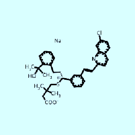 CC(C)(CS[C@H](CCc1ccccc1C(C)(C)O)c1cccc(C=Cc2ccc3ccc(Cl)cc3n2)c1)CC(=O)[O-].[Na+]